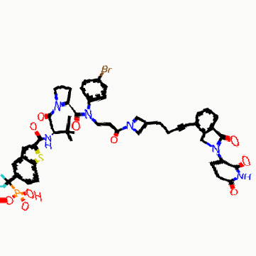 CC(C)(C)[C@H](NC(=O)c1cc2cc(C(F)(F)P(=O)(O)O)ccc2s1)C(=O)N1CCC[C@H]1C(=O)N(CCC(=O)N1CC(CCC#Cc2cccc3c2CN(C2CCC(=O)NC2=O)C3=O)C1)c1ccc(Br)cc1